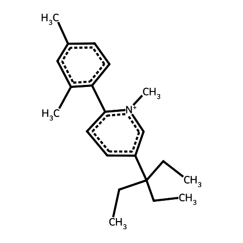 CCC(CC)(CC)c1ccc(-c2ccc(C)cc2C)[n+](C)c1